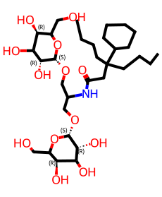 CCCCC(CCCC)(CC(=O)NC(CO[C@H]1OC(CO)[C@H](O)C(O)[C@H]1O)CO[C@H]1OC(CO)[C@H](O)C(O)[C@H]1O)C1CCCCC1